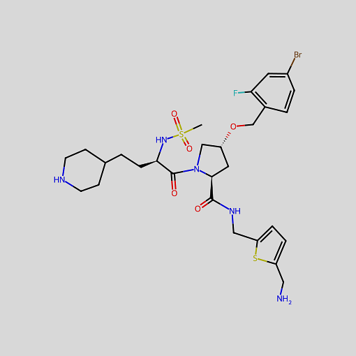 CS(=O)(=O)N[C@H](CCC1CCNCC1)C(=O)N1C[C@H](OCc2ccc(Br)cc2F)C[C@H]1C(=O)NCc1ccc(CN)s1